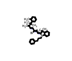 C=C(/C=C/C(Br)=C/C=C1/N(CCCc2ccccc2)c2ccccc2C1(C)C)C(C)(C)c1ccccc1C